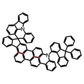 c1ccc(-c2ccc(-c3ccccc3N(c3ccc(-c4ccc5c(c4)C4(c6ccccc6-5)c5ccccc5-n5c6ccccc6c6cccc4c65)cc3)c3cccc4c3-c3ccccc3C4(c3ccccc3)c3ccccc3)cc2)cc1